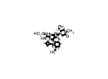 C#C[C@H]1CC[C@H](Cn2c(N3CC(=O)N(C)C[C@H]3C=C)nc3nc(C(=N)NC(=O)O)nc(N[C@H](C)C4CCC4)c32)CC1